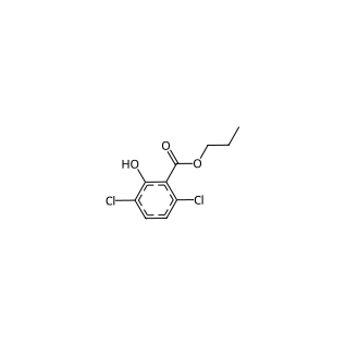 CCCOC(=O)c1c(Cl)ccc(Cl)c1O